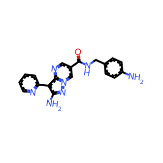 Nc1ccc(CNC(=O)c2cnc3c(-c4ccccn4)c(N)nn3c2)cc1